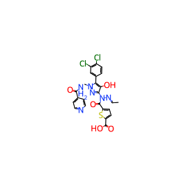 CC=NN(C(=O)c1ccc(C(=O)O)s1)c1nn(C)c(-c2ccc(Cl)c(Cl)c2)c1O.NC(=O)c1ccncc1